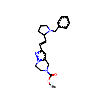 CC(C)(C)OC(=O)N1CCn2nc(/C=C/C3CCCN3Cc3ccccc3)cc2C1